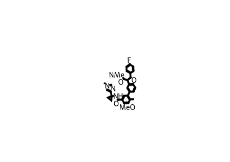 CNC(=O)C1c2cc(-c3cc(C(=O)NC4(c5cn(C)cn5)CC4)c(OC)cc3C)ccc2OC1c1ccc(F)cc1